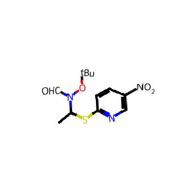 CC(Sc1ccc([N+](=O)[O-])cn1)N(C=O)OC(C)(C)C